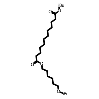 CCC(C)OC(=O)CCCCCCCCCCC(=O)OCCCCCCOC(C)C